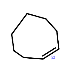 [C]1=C\CCCCCC/1